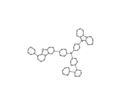 c1ccc(-c2ccccc2-c2ccc(N(c3ccc(-c4ccc5oc6c(-c7ccccc7)cccc6c5c4)cc3)c3ccc(-n4c5ccccc5c5ccccc54)cc3)cc2)cc1